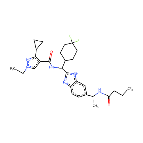 C[C@@H](NC(=O)CCC(F)(F)F)c1ccc2nc([C@@H](NC(=O)c3cn(CC(F)(F)F)nc3C3CC3)C3CCC(F)(F)CC3)[nH]c2c1